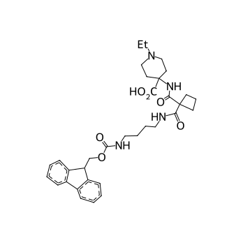 CCN1CCC(NC(=O)C2(C(=O)NCCCCNC(=O)OCC3c4ccccc4-c4ccccc43)CCC2)(C(=O)O)CC1